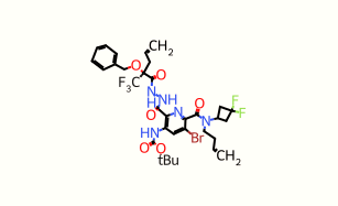 C=CCCN(C(=O)c1nc(C(=O)NNC(=O)C(CC=C)(OCc2ccccc2)C(F)(F)F)c(NC(=O)OC(C)(C)C)cc1Br)C1CC(F)(F)C1